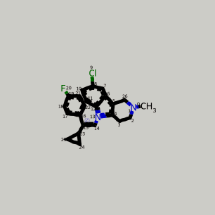 CN1CCc2c(c3cc(Cl)ccc3n2/C=C(\c2ccc(F)cc2)C2CC2)C1